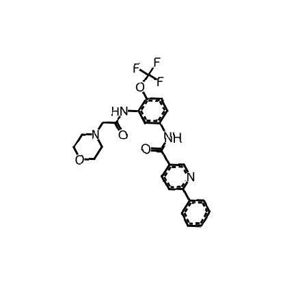 O=C(CN1CCOCC1)Nc1cc(NC(=O)c2ccc(-c3ccccc3)nc2)ccc1OC(F)(F)F